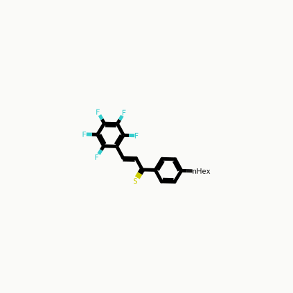 CCCCCCc1ccc(C(=S)C=Cc2c(F)c(F)c(F)c(F)c2F)cc1